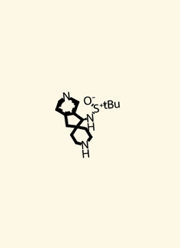 CC(C)(C)[S@@+]([O-])N[C@@H]1c2cnccc2CC12CCNCC2